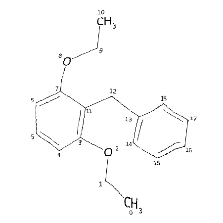 CCOc1cccc(OCC)c1Cc1ccccc1